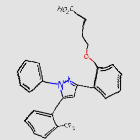 O=C(O)CCCOc1ccccc1-c1cc(-c2ccccc2C(F)(F)F)n(-c2ccccc2)n1